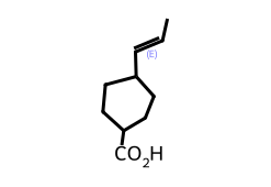 C/C=C/C1CCC(C(=O)O)CC1